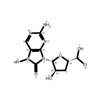 CCCn1c(=O)n([C@@H]2O[C@H](C(O)CC)C[C@H]2O)c2nc(N)ncc21